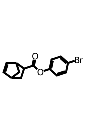 O=C(Oc1ccc(Br)cc1)C1CC2C=CC1C2